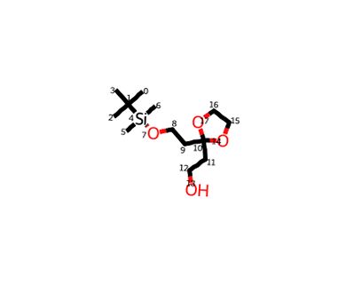 CC(C)(C)[Si](C)(C)OCCC1(CCO)OCCO1